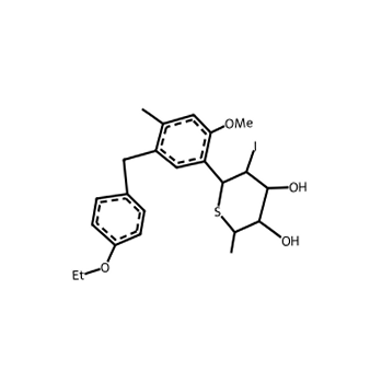 CCOc1ccc(Cc2cc(C3SC(C)C(O)C(O)C3I)c(OC)cc2C)cc1